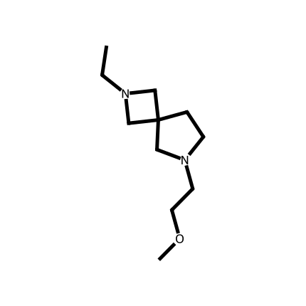 CCN1CC2(CCN(CCOC)C2)C1